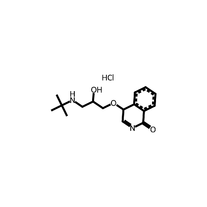 CC(C)(C)NCC(O)COC1C=NC(=O)c2ccccc21.Cl